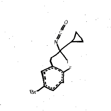 O=C=NC(I)(Cc1cc(Br)ccc1F)C1CC1